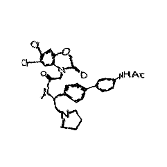 CC(=O)Nc1ccc(-c2ccc(C(CN3CCCC3)N(C)C(=O)CN3C(=O)COc4cc(Cl)c(Cl)cc43)cc2)cc1